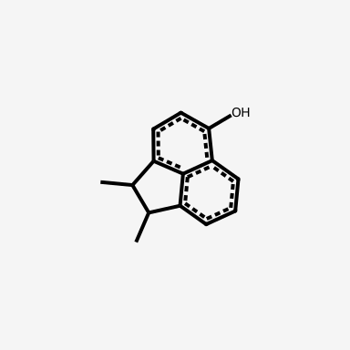 CC1c2cccc3c(O)ccc(c23)C1C